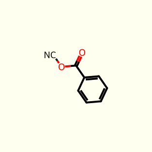 N#COC(=O)c1ccccc1